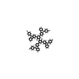 Cc1ccc(-n2c3ccccc3c3cc(-c4cc(-c5ccc6c(c5)c5ccccc5n6-c5ccc(C)cc5)c(C)c(-c5cc(-c6ccc7c(c6)c6ccccc6n7-c6ccc(C)cc6)cc(-c6ccc7c(c6)c6ccccc6n7-c6ccc(C)cc6)c5C)c4)ccc32)cc1